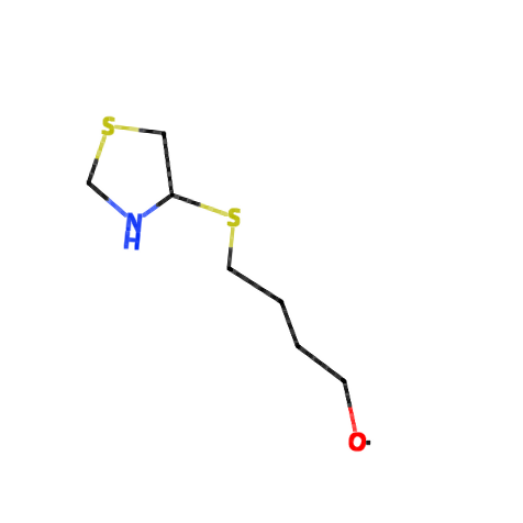 [O]CCCCSC1CSCN1